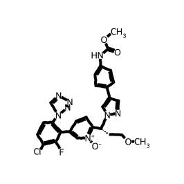 COCC[C@H](c1ccc(-c2c(-n3cnnn3)ccc(Cl)c2F)c[n+]1[O-])n1cc(-c2ccc(NC(=O)OC)cc2)cn1